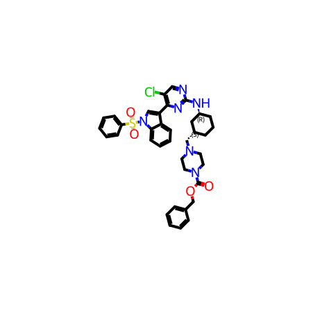 O=C(OCc1ccccc1)N1CCN(C[C@H]2CCC[C@@H](Nc3ncc(Cl)c(-c4cn(S(=O)(=O)c5ccccc5)c5ccccc45)n3)C2)CC1